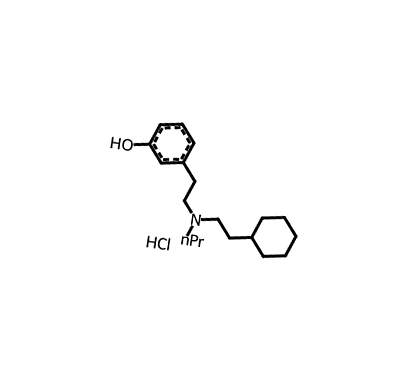 CCCN(CCc1cccc(O)c1)CCC1CCCCC1.Cl